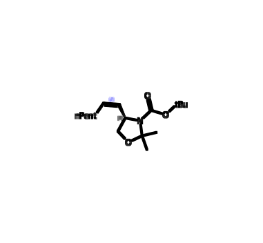 CCCCC/C=C\[C@@H]1COC(C)(C)N1C(=O)OC(C)(C)C